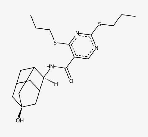 CCCSc1ncc(C(=O)N[C@H]2C3CC4CC2C[C@@](O)(C4)C3)c(SCCC)n1